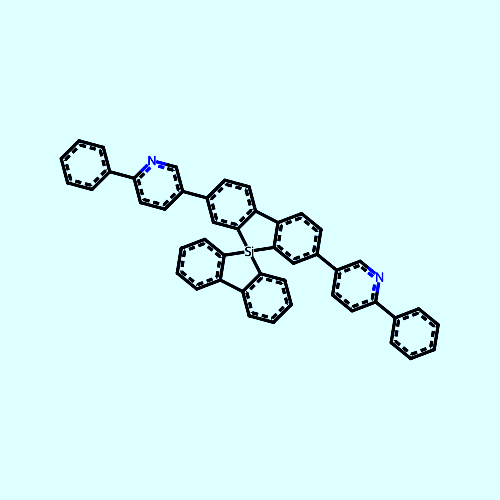 c1ccc(-c2ccc(-c3ccc4c(c3)[Si]3(c5ccccc5-c5ccccc53)c3cc(-c5ccc(-c6ccccc6)nc5)ccc3-4)cn2)cc1